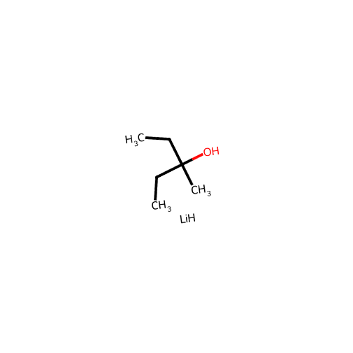 CCC(C)(O)CC.[LiH]